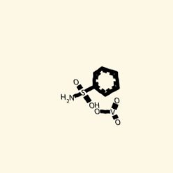 NS(=O)(=O)c1ccccc1.[O]=[V](=[O])[OH]